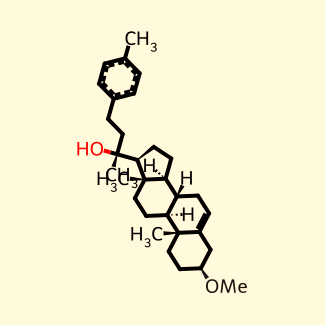 CO[C@H]1CC[C@@]2(C)C(=CC[C@H]3[C@@H]4CC[C@H]([C@](C)(O)CCc5ccc(C)cc5)[C@@]4(C)CC[C@@H]32)C1